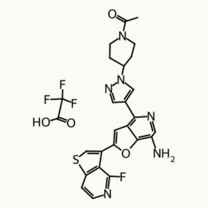 CC(=O)N1CCC(n2cc(-c3ncc(N)c4oc(-c5csc6ccnc(F)c56)cc34)cn2)CC1.O=C(O)C(F)(F)F